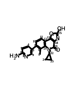 Cc1c(-c2ccc(N)nc2)ccc2c3oc(O)nc3c(=O)n(C3CC3)c12